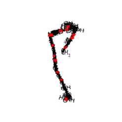 COCCOCCn1cc(CCCCCCO[C@]2(C(=O)O)C[C@H](O)[C@@H](NC(=O)CO)[C@H]([C@H](O)[C@H](O)CNC(=O)Cc3ccc(-c4cn(CCOCCOCCOCCOCCOCCOCCOCCOCCOCCOCCOCCNC(=O)CCCC[C@@H]5SC[C@@H]6NC(=O)N[C@@H]65)nn4)cc3)O2)nn1